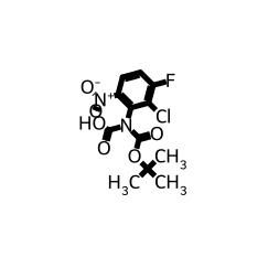 CC(C)(C)OC(=O)N(C(=O)O)c1c([N+](=O)[O-])ccc(F)c1Cl